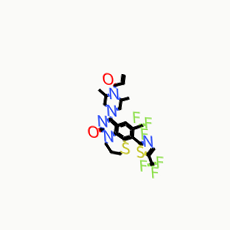 C=CC(=O)N1C(C)CN(c2nc(=O)n3c4c(c(-c5ncc(C(F)(F)F)s5)c(C(F)(F)F)cc24)SCCC3)CC1C